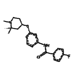 CN1CCC(Oc2cccc(NC(=O)c3ccc(F)cc3)n2)CC1(C)C